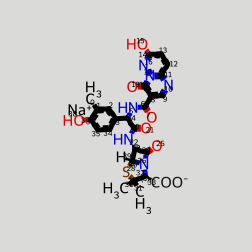 Cc1cc(C(NC(=O)c2cnc3ccc(O)nn3c2=O)C(=O)N[C@@H]2C(=O)N3[C@@H]2SC(C)(C)[C@@H]3C(=O)[O-])ccc1O.[Na+]